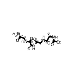 CCC(=O)N[C@@H](C)C(=O)NCC(=O)N[C@@H](C)C(=O)NCC(N)=O